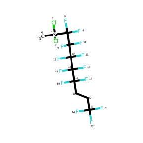 C[Si](Cl)(Cl)C(F)(F)C(F)(F)C(F)(F)C(F)(F)C(F)(F)CCC(F)(F)F